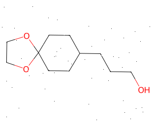 OCCCC1CCC2(CC1)OCCO2